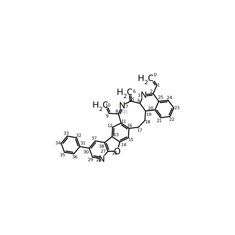 C=CC1=NC2C(=C)/N=C(/C=C)c3cc4c(cc3CCC2c2ccccc21)oc1ncc(-c2ccccc2)cc14